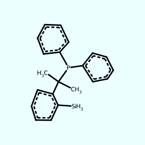 CC(C)(c1ccccc1[SiH3])P(c1ccccc1)c1ccccc1